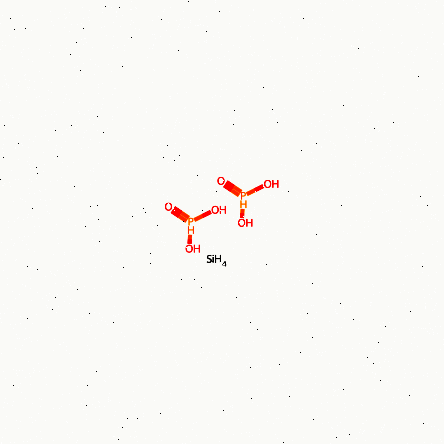 O=[PH](O)O.O=[PH](O)O.[SiH4]